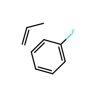 C=CC.Fc1ccccc1